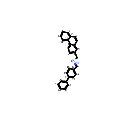 C(=N\Cc1ccc2c(ccc3ccccc32)c1)/c1ccc(-c2ccccc2)cc1